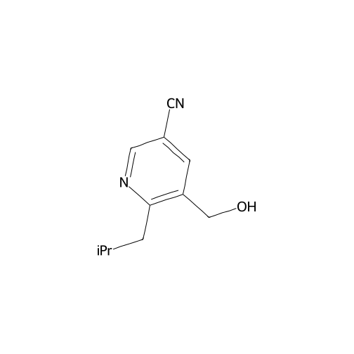 CC(C)Cc1ncc(C#N)cc1CO